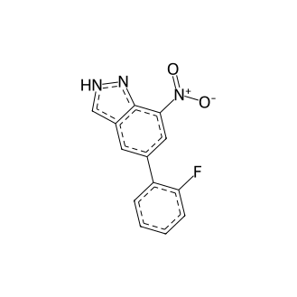 O=[N+]([O-])c1cc(-c2ccccc2F)cc2c[nH]nc12